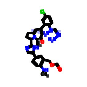 CNc1ccc(-c2cnc(C3CC/C(=C/C(=C\C=O)c4cc(Cl)ccc4N(N)/C=N\N)N3C)[nH]2)cc1COC=O